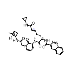 C[C@H]1C2CC1(NC(=O)Cn1cccc(NC(=O)[C@H](CC/C=C/C(=O)NC3CC3)NC(=O)c3cc4ccccc4nn3)c1=O)C2